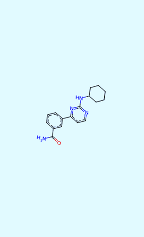 NC(=O)c1cccc(-c2ccnc(NC3CCCCC3)n2)c1